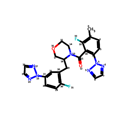 Cc1ccc(-n2nccn2)c(C(=O)N2CCOCC2Cc2cc(-n3nccn3)ccc2F)c1F